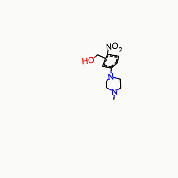 CN1CCN(c2ccc([N+](=O)[O-])c(CO)c2)CC1